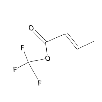 CC=CC(=O)OC(F)(F)F